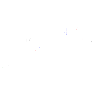 CCOC(=O)CNc1ccc(C(CC)=NOCc2ccc(C(F)(F)F)cc2)cc1